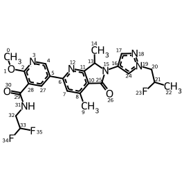 COc1ncc(-c2cc(C)c3c(n2)C(C)N(c2cnn(CC(C)F)c2)C3=O)cc1C(=O)NCC(F)F